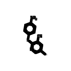 [CH2]c1cnc(Sc2ccc([N+](=O)[O-])cc2)c(C#N)c1